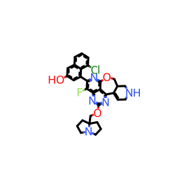 Oc1cc(-c2nc3c4c(nc(OCC56CCCN5CCC6)nc4c2F)C2=CCNCC2CO3)c2c(Cl)cccc2c1